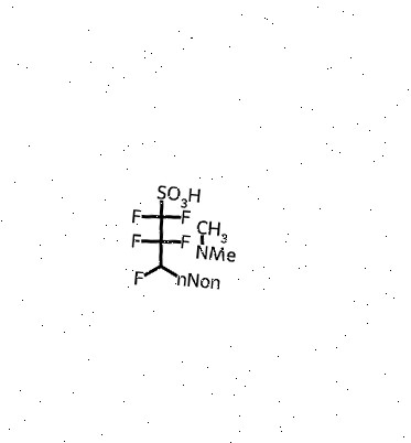 CCCCCCCCCC(F)C(F)(F)C(F)(F)S(=O)(=O)O.CNC